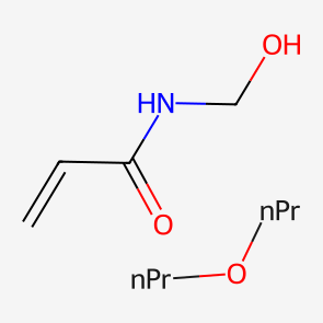 C=CC(=O)NCO.CCCOCCC